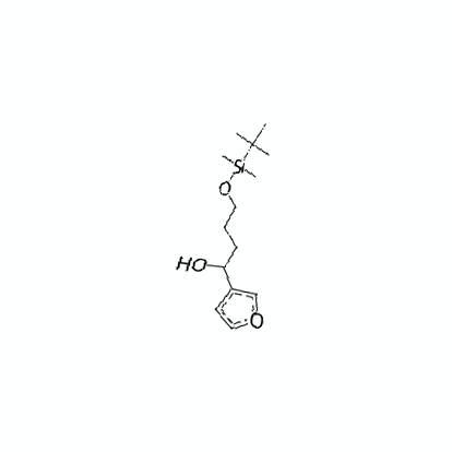 CC(C)(C)[Si](C)(C)OCCCC(O)c1ccoc1